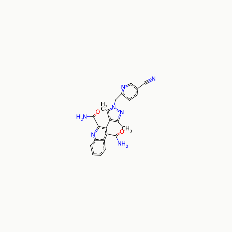 Cc1nn(Cc2ccc(C#N)cn2)c(C)c1-c1c(C(N)=O)nc2ccccc2c1C(N)=O